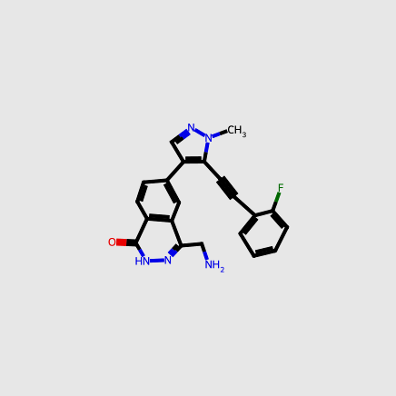 Cn1ncc(-c2ccc3c(=O)[nH]nc(CN)c3c2)c1C#Cc1ccccc1F